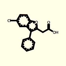 O=C(O)Cc1oc2ccc(Cl)cc2c1-c1ccccc1